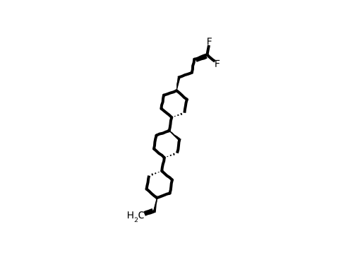 C=C[C@H]1CC[C@H]([C@H]2CC[C@H]([C@H]3CC[C@H](CCC=C(F)F)CC3)CC2)CC1